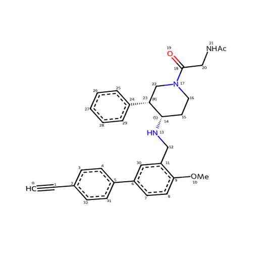 C#Cc1ccc(-c2ccc(OC)c(CN[C@H]3CCN(C(=O)CNC(C)=O)C[C@H]3c3ccccc3)c2)cc1